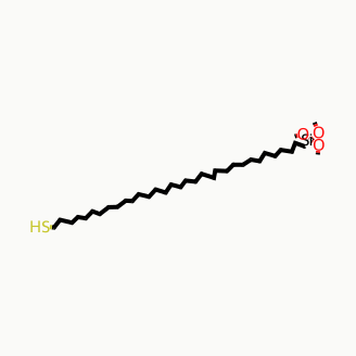 CO[Si](CCCCCCCCCCCCCCCCCCCCCCCCCCCCCCCCCS)(OC)OC